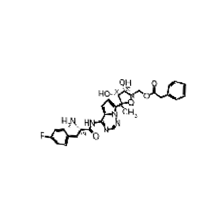 C[C@@]1(c2ccc3c(NC(=O)[C@@H](N)Cc4ccc(F)cc4)ncnn23)O[C@H](COC(=O)Cc2ccccc2)[C@@H](O)[C@H]1O